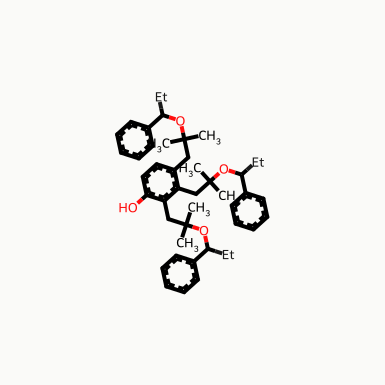 CCC(OC(C)(C)Cc1ccc(O)c(CC(C)(C)OC(CC)c2ccccc2)c1CC(C)(C)OC(CC)c1ccccc1)c1ccccc1